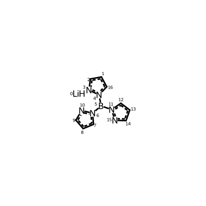 [LiH].c1cnn(B(n2cccn2)n2cccn2)c1